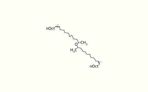 CCCCCCCC/C=C\CCCCCCCCC(C)OC(C)CCCCCCCC/C=C\CCCCCCCC